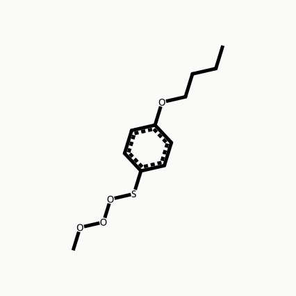 CCCCOc1ccc(SOOOC)cc1